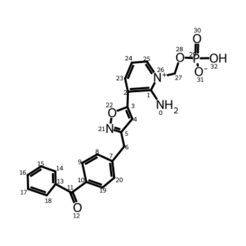 Nc1c(-c2cc(Cc3ccc(C(=O)c4ccccc4)cc3)no2)ccc[n+]1COP(=O)([O-])O